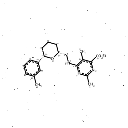 CCOC(=O)c1nc(C)nc(NC[C@H]2CCC[C@@H](c3cccc(C)c3)O2)c1C